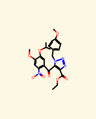 CCOC(=O)c1nnn(Cc2ccc(OC)cc2)c1C(=O)c1cc(OC(C)C)c(OC)cc1[N+](=O)[O-]